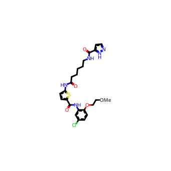 COCCOc1ccc(Cl)cc1NC(=O)c1ccc(NC(=O)CCCCCNC(=O)c2ccn[nH]2)s1